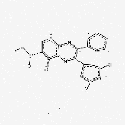 CC[S+]([O-])c1c[nH]c2nc(-c3ccccc3)c(-c3cc(C)nc(Cl)c3)nc2c1=O